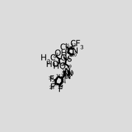 C[C@@H](O)C(CO)OC(Sc1cnc(C(F)(F)F)c(Cl)c1)[C@@H](O)Cn1cc(-c2cc(F)c(F)c(F)c2)nn1